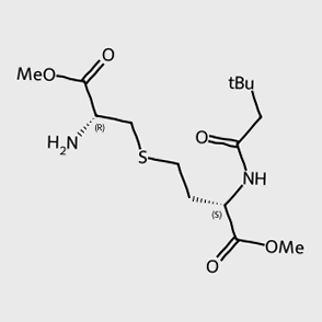 COC(=O)[C@H](CCSC[C@H](N)C(=O)OC)NC(=O)CC(C)(C)C